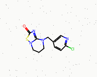 O=c1nc2n(s1)CCCN2Cc1ccc(Cl)nc1